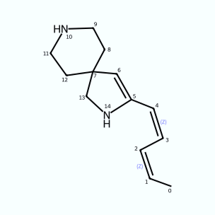 C/C=C\C=C/C1=CC2(CCNCC2)CN1